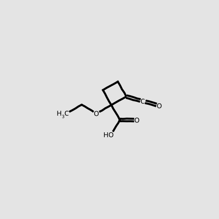 CCOC1(C(=O)O)CCC1=C=O